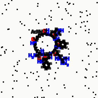 CC(=O)NC1CCC(=O)NCCCC(C(N)=O)NC(=O)[C@H](Cc2c[nH]c3ccccc23)NC(=O)[C@H](CCCNC(=N)N)NC(=O)C(Cc2ccccc2)NC(=O)[C@H](Cc2c[nH]cn2)NC1=O